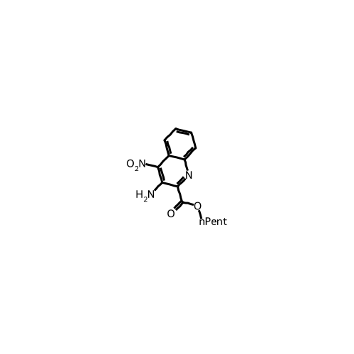 CCCCCOC(=O)c1nc2ccccc2c([N+](=O)[O-])c1N